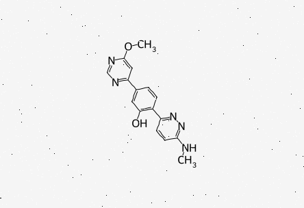 CNc1ccc(-c2ccc(-c3cc(OC)ncn3)cc2O)nn1